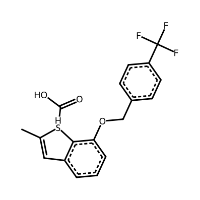 CC1=Cc2cccc(OCc3ccc(C(F)(F)F)cc3)c2[SH]1C(=O)O